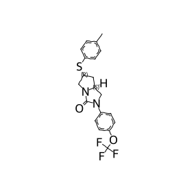 Cc1ccc(S[C@@H]2C[C@H]3CN(c4ccc(OC(F)(F)F)cc4)C(=O)N3C2)cc1